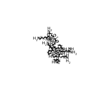 C[C@H](NC(=O)[C@H](CCN)NC(=O)[C@@H](N)CCCCN)C(=O)NCC(=O)/N=C(\CCCN)C(=O)N1CCC[C@H]1C(=O)N[C@@H](Cc1cnc[nH]1)C(=O)N[C@@H](CCCCN)C(=O)N/C(=C\CCNC(=N)N)C(=O)N[C@@H](CCCCN)C(N)=O